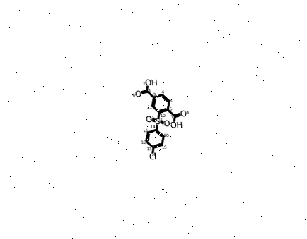 O=C(O)c1ccc(C(=O)O)c(S(=O)(=O)c2ccc(Cl)cc2)c1